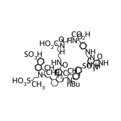 CCCC[N+]1=C(/C=C/C2=C(c3ccc(C(=O)NCCCC[C@H](NC(=O)CC[C@H](NC(=O)c4ccc(NCc5cnc6nc[nH]c(=O)c6n5)cc4)C(=O)O)C(=O)O)cc3)C(=C/C=C3/N(CCC(C)S(=O)(=O)O)c4ccc5cc(S(=O)(=O)O)ccc5c4C3(C)C)/CCC2)C(C)(C)c2c1ccc1cc(S(=O)(=O)O)ccc21